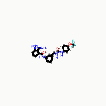 Nc1n[nH]c2cccc(C(=O)Nc3cccc(CNC(=O)Nc4ccc(OC(F)(F)F)cc4)c3)c12